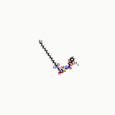 CCC=CCC=CCC=CCC=CCC=CCC=CCCC(=O)NCCN1C(=O)CC(SCCNC(=O)C2=CC(=O)C(C)(c3ccccc3)O2)C1=O